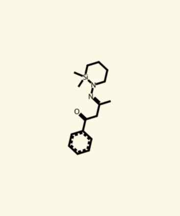 CC(CC(=O)c1ccccc1)=NN1CCCC[Si]1(C)C